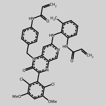 C=CC(=O)Nc1ccc(Cn2c(=O)c(-c3c(Cl)c(OC)cc(OC)c3Cl)nc3cnc(Nc4c(C)cccc4NC(=O)C=C)cc32)cc1